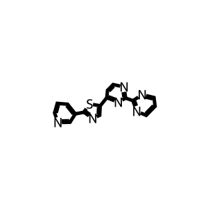 c1cnc(-c2nccc(-c3cnc(-c4cccnc4)s3)n2)nc1